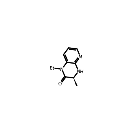 CCN1C(=O)[C@H](C)Nc2ncccc21